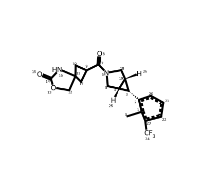 Cc1c([C@@H]2[C@@H]3CN(C(=O)C4CC5(COC(=O)N5)C4)C[C@@H]32)cccc1C(F)(F)F